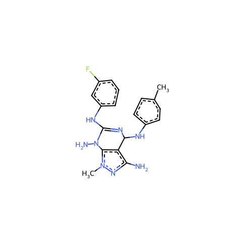 Cc1ccc(NC2N=C(Nc3cccc(F)c3)N(N)c3c2c(N)nn3C)cc1